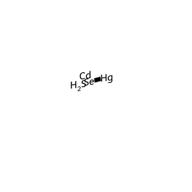 S.[Cd].[Se]=[Hg]